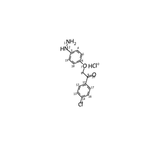 Cl.NNc1ccc(OCC(=O)c2ccc(Cl)cc2)cc1